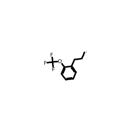 [CH]CCc1ccccc1OC(F)(F)F